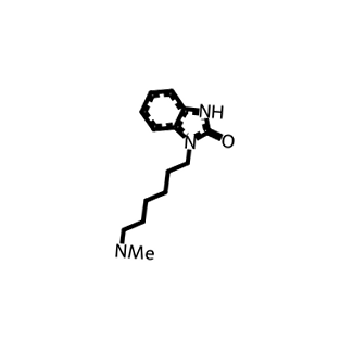 CNCCCCCCn1c(=O)[nH]c2ccccc21